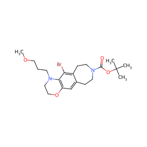 COCCCN1CCOc2cc3c(c(Br)c21)CCN(C(=O)OC(C)(C)C)CC3